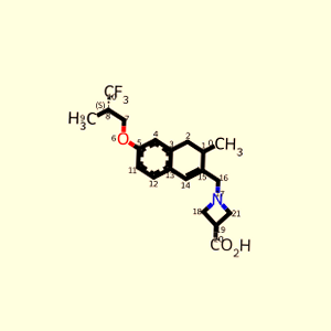 CC1Cc2cc(OC[C@H](C)C(F)(F)F)ccc2C=C1CN1CC(C(=O)O)C1